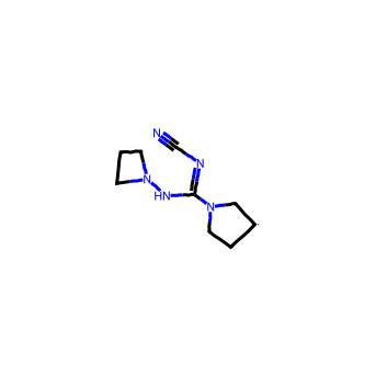 N#CN=C(NN1CCC1)N1C[CH]CC1